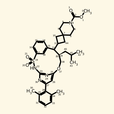 COC(=O)N1CCC2(CC1)CC(C1c3cccc(c3)S(=O)(=O)Nc3nc(cc(-c4c(C)cccc4C)n3)OC[C@@H]1CC(C)C)C2